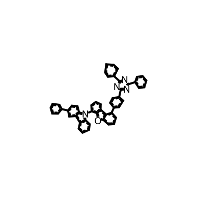 c1ccc(-c2ccc3c(c2)c2ccccc2n3-c2cccc3c2oc2cccc(-c4ccc(-c5nc(-c6ccccc6)nc(-c6ccccc6)n5)cc4)c23)cc1